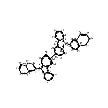 C1=CC2=CC(n3c4ccccc4c4cc(-c5ccc6c(c5)c5ccccc5n6-c5ccc6c(c5)C=CCC6)ccc43)=CCC2C=C1